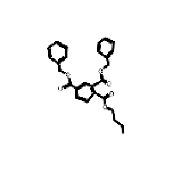 CCCCOC(=O)c1ccc(C(=O)OCc2ccccc2)cc1C(=O)OCc1ccccc1